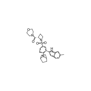 Cc1ccc2cc(-c3cc(S(=O)(=O)N4CC[C@H]4C(=O)N4CCOCC4)ccc3N3C4CCC3CC4)[nH]c2c1